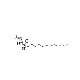 CCCCCCCCCCCCS(=O)(=O)NN=C(C)C